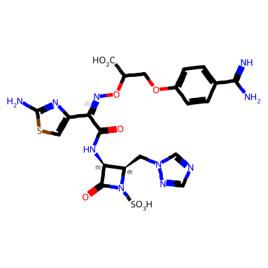 N=C(N)c1ccc(OCC(O/N=C(\C(=O)N[C@@H]2C(=O)N(S(=O)(=O)O)[C@@H]2Cn2cncn2)c2csc(N)n2)C(=O)O)cc1